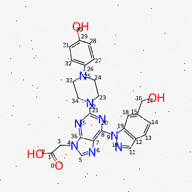 O=C(O)Cn1cnc2c(-n3ncc4ccc(CO)cc43)nc(N3CCN(c4ccc(O)cc4)CC3)nc21